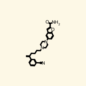 C=C(CCCCN1CCN(c2ccc3oc(C(N)=O)cc3c2)CC1)c1cccc(C#N)c1